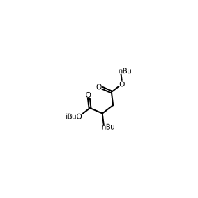 CCCCOC(=O)CC(CCCC)C(=O)OCC(C)C